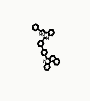 c1ccc(-c2cc3c4ccccc4nc(-c4cccc(-c5ccc(-c6nc7ccccc7c7c6ccc6ccccc67)cc5)c4)n3n2)cc1